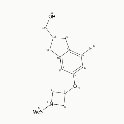 CSN1CC(Oc2cc(F)c3c(c2)CC(CO)C3)C1